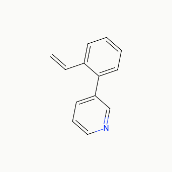 C=Cc1ccccc1-c1cccnc1